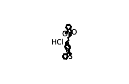 Cl.O=C1c2ccccc2C(=O)N1CCCCN1CCN(c2csc3ccccc23)CC1